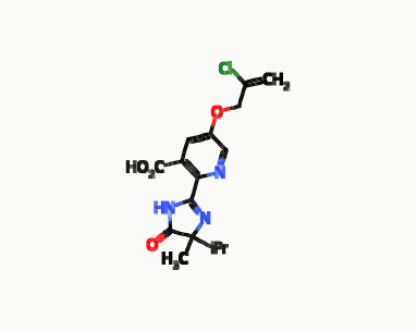 C=C(Cl)COc1cnc(C2=NC(C)(C(C)C)C(=O)N2)c(C(=O)O)c1